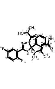 C[C@H](O)C(=O)N1N=C(c2cc(F)ccc2F)SC1(c1ccccc1)N(C)C(N)=NC(N)=O